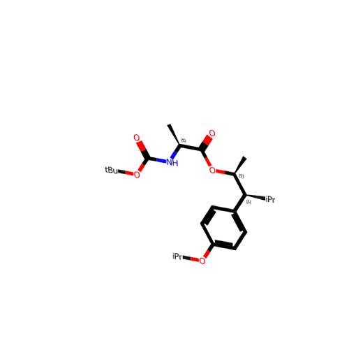 CC(C)Oc1ccc([C@H](C(C)C)[C@H](C)OC(=O)[C@H](C)NC(=O)OC(C)(C)C)cc1